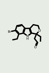 CCc1c(Br)ccc2c3c([nH]c12)C(CC)(CC=O)OCC3